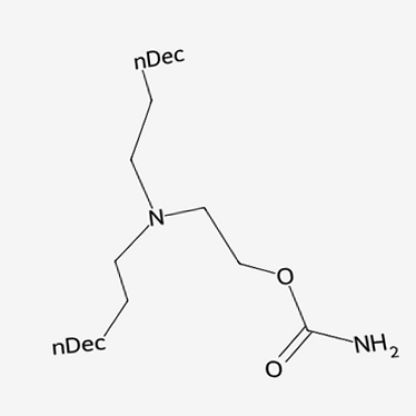 CCCCCCCCCCCCN(CCCCCCCCCCCC)CCOC(N)=O